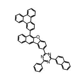 c1ccc(-c2nc(-c3ccc4ccccc4c3)nc(-c3ccc4oc5c(-c6ccc7c8ccccc8c8ccccc8c7c6)c6ccccc6cc5c4c3)n2)cc1